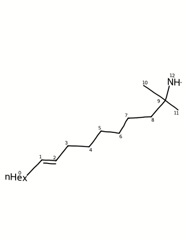 CCCCCC/C=C/CCCCCCC(C)(C)[NH]